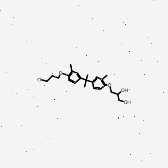 Cc1cc(C(C)(C)c2ccc(OCC(O)CO)c(C)c2)ccc1OCCCCl